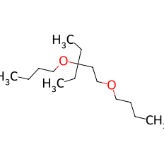 CCCCOCCC(CC)(CC)OCCCC